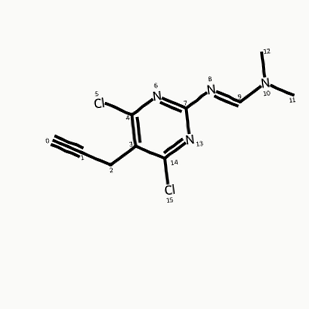 C#CCc1c(Cl)nc(/N=C/N(C)C)nc1Cl